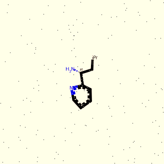 CC(C)C[C@@H](N)c1ccccn1